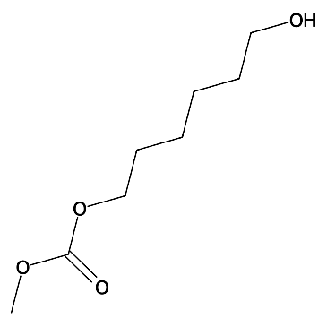 COC(=O)OCCCCCCO